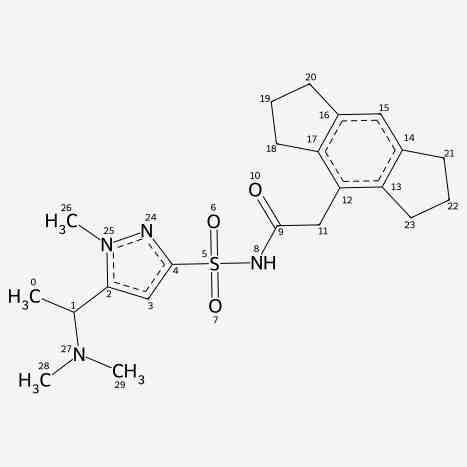 CC(c1cc(S(=O)(=O)NC(=O)Cc2c3c(cc4c2CCC4)CCC3)nn1C)N(C)C